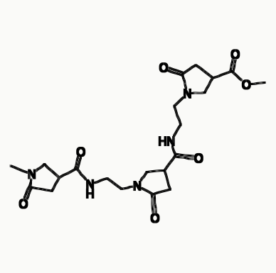 COC(=O)C1CC(=O)N(CCNC(=O)C2CC(=O)N(CCNC(=O)C3CC(=O)N(C)C3)C2)C1